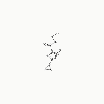 CCOC(=O)c1nc(C2CC2)oc1C